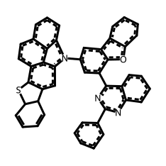 C1=CC2Sc3c(cc4c5c3ccc3cccc(c35)n4-c3cc(-c4nc(-c5ccccc5)nc5ccccc45)c4oc5ccccc5c4c3)C2C=C1